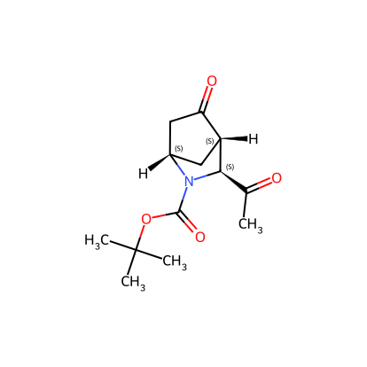 CC(=O)[C@@H]1[C@@H]2C[C@@H](CC2=O)N1C(=O)OC(C)(C)C